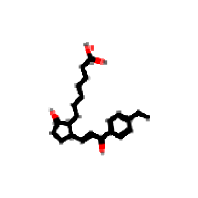 CCc1ccc(C(=O)/C=C/C2CCC(=O)C2CCCCCCC(=O)O)cc1